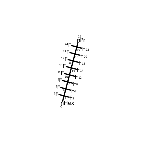 CCCCCCC(F)(F)C(F)(F)C(F)(F)C(F)(F)C(F)(F)C(F)(F)C(F)(F)C(F)(F)CCC